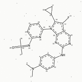 CN(C)c1ccc(Nc2ncc3c(F)c(C4CC4)n(-c4cccc(N=S(C)(C)=O)n4)c3n2)cc1